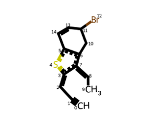 C#C/C=c1/sc2c(/c1=C/C)CC(Br)C=C2